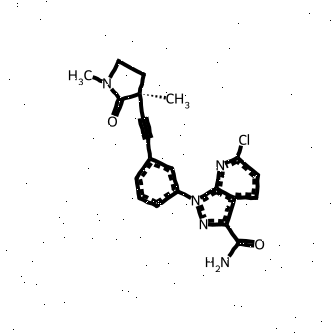 CN1CC[C@@](C)(C#Cc2cccc(-n3nc(C(N)=O)c4ccc(Cl)nc43)c2)C1=O